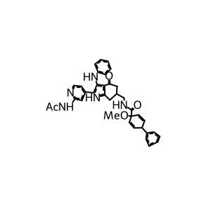 COC1(C(=O)NCC2CC(=O)c3c([nH]c(-c4ccnc(NC(C)=O)c4)c3Nc3ccccc3)C2)C=CC(c2ccccc2)C=C1